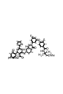 COCC(C)(C)NC(=O)c1ccc(Oc2cc(F)cc(N3C[C@@H]4CN(CC5=C(C(=O)OC)C(c6ccc(F)cc6Cl)N=C(c6nccs6)N5)CCN4C3=O)c2)c(F)c1